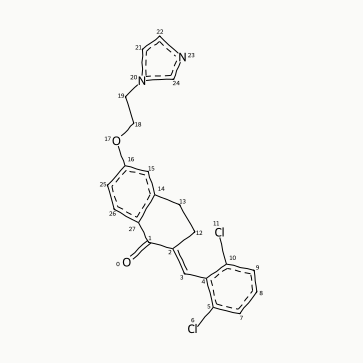 O=C1C(=Cc2c(Cl)cccc2Cl)CCc2cc(OCCn3ccnc3)ccc21